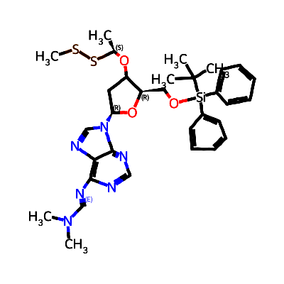 CSS[C@@H](C)OC1C[C@H](n2cnc3c(/N=C/N(C)C)ncnc32)O[C@@H]1CO[Si](c1ccccc1)(c1ccccc1)C(C)(C)C